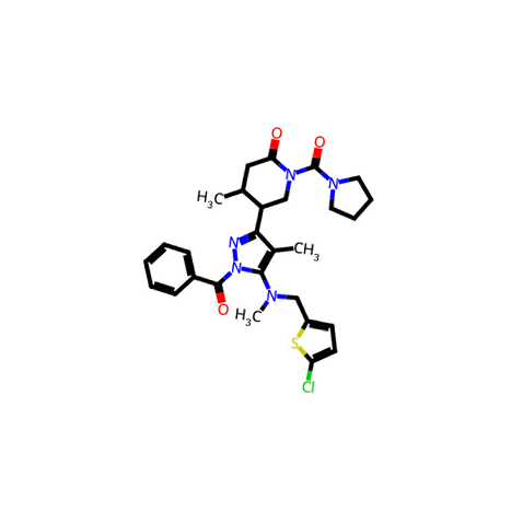 Cc1c(C2CN(C(=O)N3CCCC3)C(=O)CC2C)nn(C(=O)c2ccccc2)c1N(C)Cc1ccc(Cl)s1